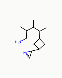 CC(CN)C(C)C(C)C1CC2C1[C@@]21C=N1